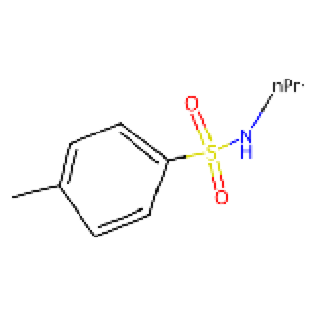 CC[CH]NS(=O)(=O)c1ccc(C)cc1